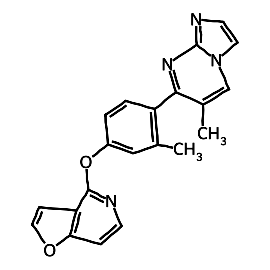 Cc1cc(Oc2nccc3occc23)ccc1-c1nc2nccn2cc1C